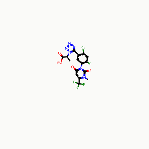 CC(C(=O)O)n1nnnc1-c1cc(-n2c(=O)cc(C(F)(F)F)n(C)c2=O)c(F)cc1Cl